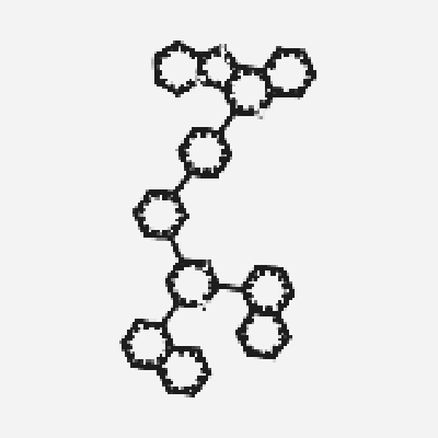 c1cc(-c2ccc(-c3nc4ccccc4c4nc5ccccn5c34)cc2)cc(-c2cc(-c3cccc4ccccc34)nc(-c3cccc4ccccc34)n2)c1